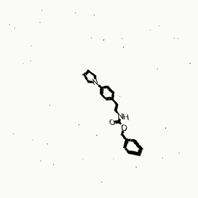 O=C(NCCc1ccc(N2C[CH]CC2)cc1)OCc1ccccc1